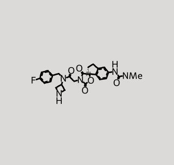 CNC(=O)Nc1ccc2c(c1)CC[C@@]21OC(=O)N(CC(=O)N(Cc2ccc(F)cc2)C2CNC2)C1=O